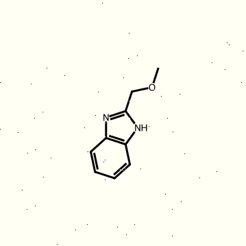 COCc1nc2[c]cccc2[nH]1